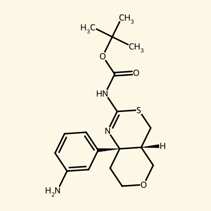 CC(C)(C)OC(=O)NC1=N[C@@]2(c3cccc(N)c3)CCOC[C@H]2CS1